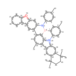 Cc1ccc(N2B3c4cc(C)ccc4-n4c5cc6c(cc5c5c(C)cc(c3c54)-c3cc4c(cc32)oc2ccccc24)C(C)(C)CCC6(C)C)cc1